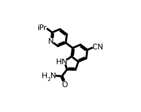 CC(C)c1ccc(-c2cc(C#N)cc3cc(C(N)=O)[nH]c23)cn1